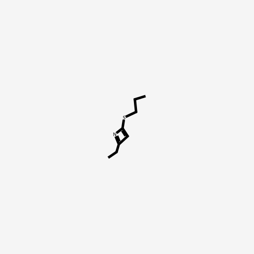 CCCSC1=CC(CC)=N1